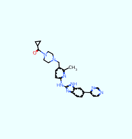 Cc1nc(Nc2nc3ccc(-c4ccncn4)cc3[nH]2)ccc1CN1CCN(C(=O)C2CC2)CC1